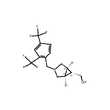 OC[C@@H]1[C@H]2CN(Cc3ccc(C(F)(F)F)cc3C(F)(F)F)C[C@@H]12